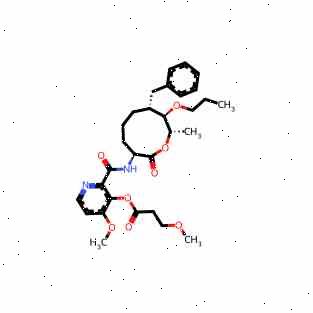 CCCO[C@@H]1[C@@H](Cc2ccccc2)CCC[C@H](NC(=O)c2nccc(OC)c2OC(=O)CCOC)C(=O)O[C@H]1C